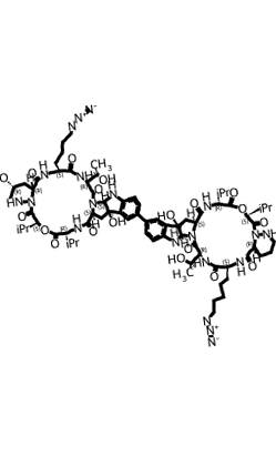 CC(C)[C@@H]1OC(=O)[C@@H](C(C)C)NC(=O)[C@@H]2C[C@@]3(O)c4cc(-c5ccc6c(c5)[C@]5(O)C[C@H]7C(=O)N[C@H](C(C)C)C(=O)O[C@@H](C(C)C)C(=O)N8NC[C@H](O)C[C@@H]8C(=O)N[C@@H](CCCCN=[N+]=[N-])C(=O)N[C@H]([C@H](C)O)C(=O)N7[C@@H]5N6)ccc4N[C@H]3N2C(=O)[C@@H]([C@H](C)O)NC(=O)[C@H](CCCCCN=[N+]=[N-])NC(=O)[C@H]2CCCNN2C1=O